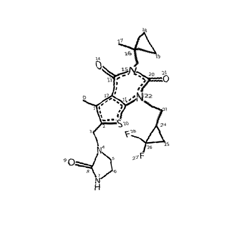 Cc1c(CN2CCNC2=O)sc2c1c(=O)n(C1(C)CC1)c(=O)n2CC1CC1(F)F